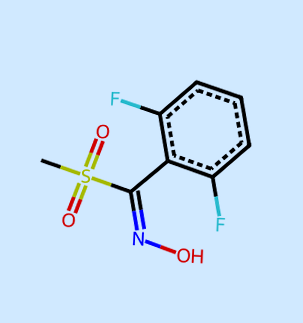 CS(=O)(=O)/C(=N/O)c1c(F)cccc1F